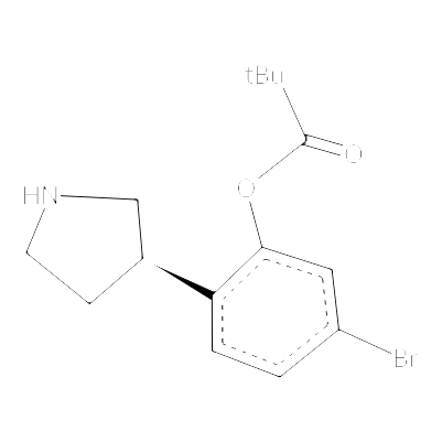 CC(C)(C)C(=O)Oc1cc(Br)ccc1[C@H]1CCNC1